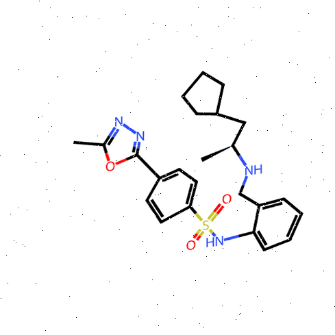 Cc1nnc(-c2ccc(S(=O)(=O)Nc3ccccc3CN[C@@H](C)CC3CCCC3)cc2)o1